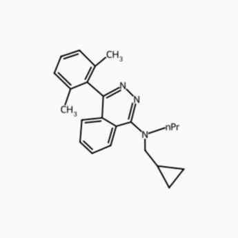 CCCN(CC1CC1)c1nnc(-c2c(C)cccc2C)c2ccccc12